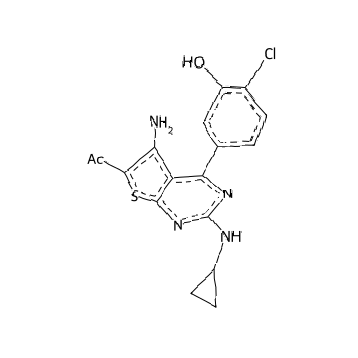 CC(=O)c1sc2nc(NC3CC3)nc(-c3ccc(Cl)c(O)c3)c2c1N